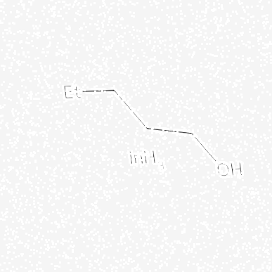 CCCCCO.[InH3]